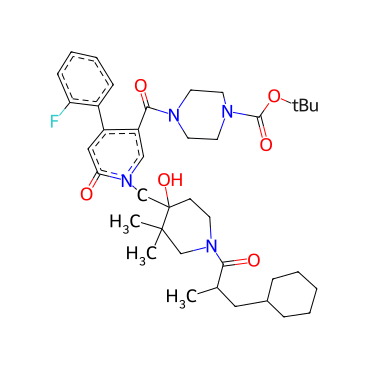 CC(CC1CCCCC1)C(=O)N1CCC(O)(Cn2cc(C(=O)N3CCN(C(=O)OC(C)(C)C)CC3)c(-c3ccccc3F)cc2=O)C(C)(C)C1